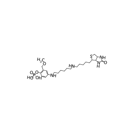 COCc1cc(NCCCCCCNCCCCCC2SCC3NC(=O)NC32)ccc1OP(=O)(O)O